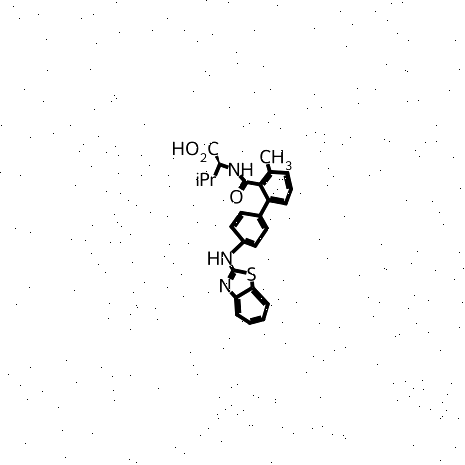 Cc1cccc(-c2ccc(Nc3nc4ccccc4s3)cc2)c1C(=O)N[C@H](C(=O)O)C(C)C